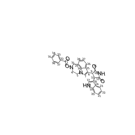 O=C(ON1CCn2cc(C3C(=O)NC(=O)C3c3c[nH]c4ccccc34)c3cccc(c32)C1)c1ccccc1